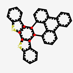 c1ccc2c(c1)sc1ccc(-c3cccc4c5ccccc5c5cccc(-c6ccc7sc8ccccc8c7c6)c5c34)cc12